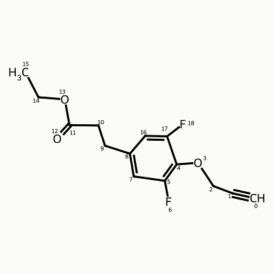 C#CCOc1c(F)cc(CCC(=O)OCC)cc1F